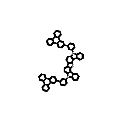 c1cc(-c2ccc3c4ccccc4c4ccccc4c3c2)cc(-n2c3ccccc3c3c4oc5c(ccc6c5c5ccccc5n6-c5cccc(-c6ccc7c8ccccc8c8ccccc8c7c6)c5)c4ccc32)c1